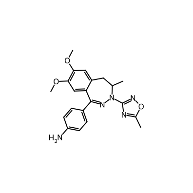 COc1cc2c(cc1OC)C(c1ccc(N)cc1)=NN(c1noc(C)n1)C(C)C2